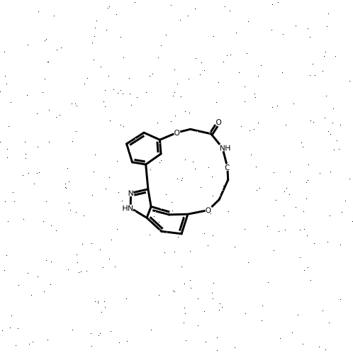 O=C1COc2cccc(c2)-c2n[nH]c3ccc(cc23)OCCCN1